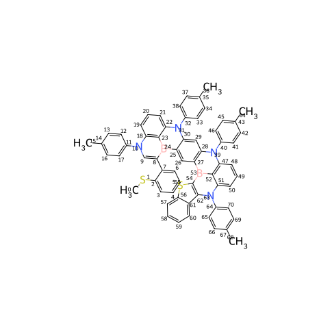 CSc1ccccc1C1=CN(c2ccc(C)cc2)c2cccc3c2B1c1cc2c(cc1N3c1ccc(C)cc1)N(c1ccc(C)cc1)c1cccc3c1B2c1sc2ccccc2c1N3c1ccc(C)cc1